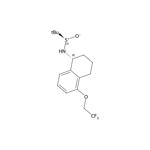 CC(C)(C)[S@@+]([O-])N[C@@H]1CCCc2c(OCC(F)(F)F)cccc21